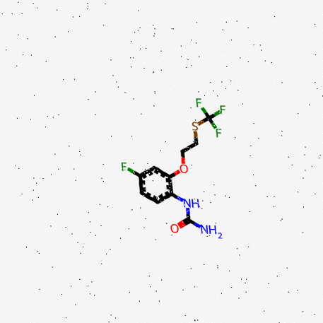 NC(=O)Nc1ccc(F)cc1OCCSC(F)(F)F